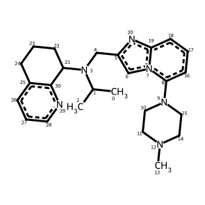 CC(C)N(Cc1cn2c(N3CCN(C)CC3)cccc2n1)C1CCCc2cccnc21